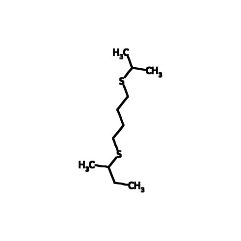 CCC(C)SCCCCSC(C)C